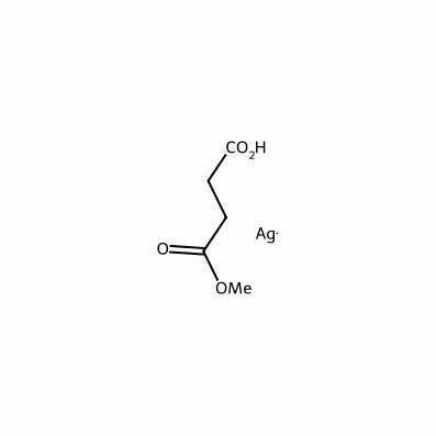 COC(=O)CCC(=O)O.[Ag]